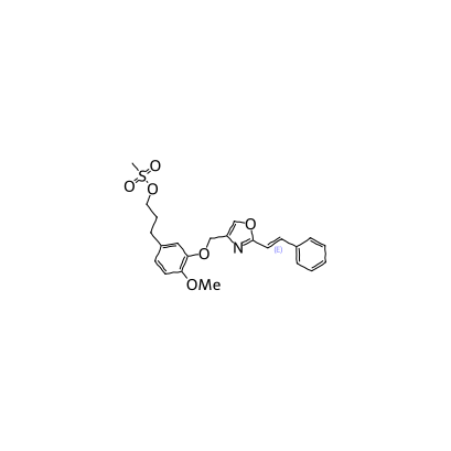 COc1ccc(CCCOS(C)(=O)=O)cc1OCc1coc(/C=C/c2ccccc2)n1